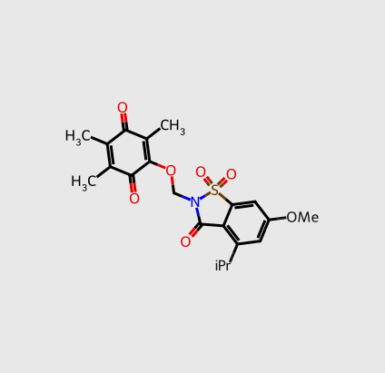 COc1cc(C(C)C)c2c(c1)S(=O)(=O)N(COC1=C(C)C(=O)C(C)=C(C)C1=O)C2=O